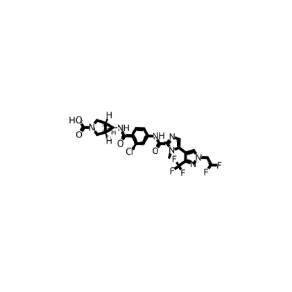 Cn1c(-c2cn(CC(F)F)nc2C(F)(F)F)cnc1C(=O)Nc1ccc(C(=O)N[C@@H]2[C@@H]3CN(C(=O)O)C[C@@H]32)c(Cl)c1